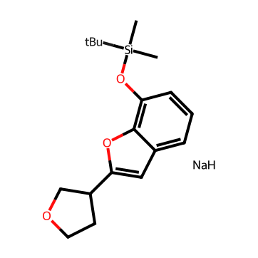 CC(C)(C)[Si](C)(C)Oc1cccc2cc(C3CCOC3)oc12.[NaH]